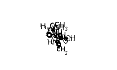 CN[C@@H](C)C(=O)N[C@H](C(=O)N1CC[C@@H]2[C@H]1[C@@H](c1c[nH]c3cc(C)ccc13)CN2CC(=O)O)C1CCCCC1